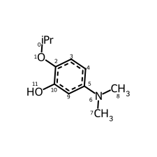 CC(C)Oc1ccc(N(C)C)cc1O